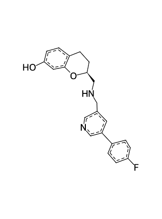 Oc1ccc2c(c1)O[C@H](CNCc1cncc(-c3ccc(F)cc3)c1)CC2